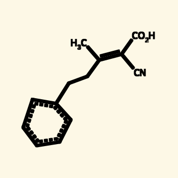 C/C(CCc1ccccc1)=C(/C#N)C(=O)O